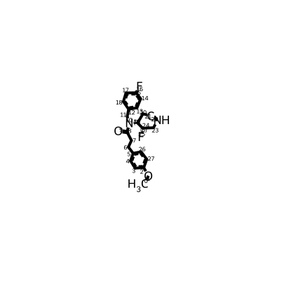 COc1ccc(CCC(=O)N(Cc2ccc(F)cc2)[C@@H]2CCNC[C@@H]2F)cc1